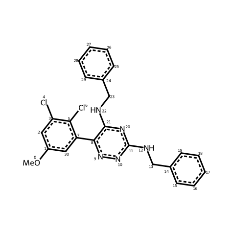 COc1cc(Cl)c(Cl)c(-c2nnc(NCc3ccccc3)nc2NCc2ccccc2)c1